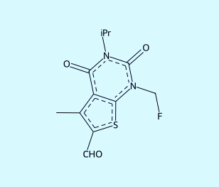 Cc1c(C=O)sc2c1c(=O)n(C(C)C)c(=O)n2CF